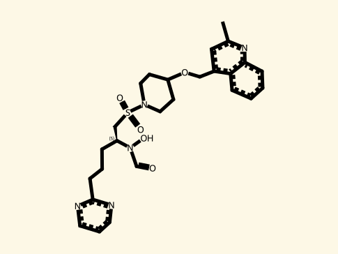 Cc1cc(COC2CCN(S(=O)(=O)C[C@H](CCCc3ncccn3)N(O)C=O)CC2)c2ccccc2n1